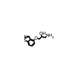 NCC(O)COc1cccc2sncc12